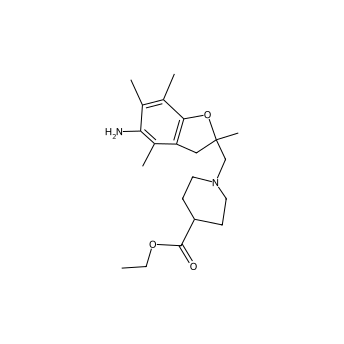 CCOC(=O)C1CCN(CC2(C)Cc3c(C)c(N)c(C)c(C)c3O2)CC1